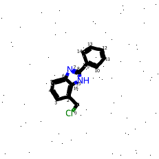 ClCc1cccc2nc(-c3ccccc3)[nH]c12